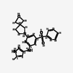 Cc1cc(Nc2cc(S(=O)(=O)c3ccccc3)cc(N3CCC4(COC4)C3)n2)n[nH]1